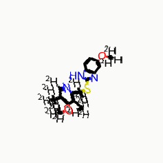 [2H]c1nc(C([2H])([2H])Sc2nc3cc(OC([2H])([2H])[2H])ccc3[nH]2)c(C([2H])([2H])[2H])c(OC([2H])([2H])[2H])c1C([2H])([2H])[2H]